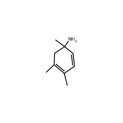 CC1=C(C)CC(C)(N)C=C1